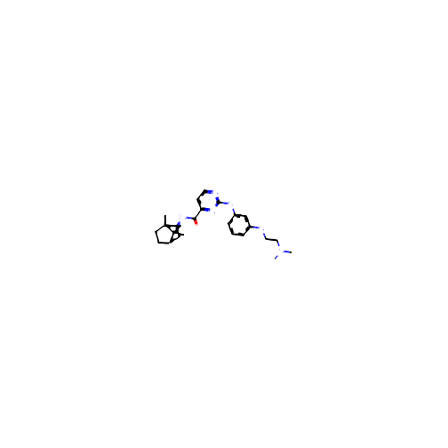 CN(C)CCNc1cccc(Nc2nccc(C(=O)NC3CC4CCC3(C)C4(C)C)n2)c1